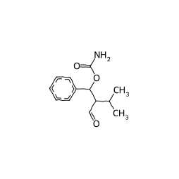 CC(C)C(C=O)C(OC(N)=O)c1ccccc1